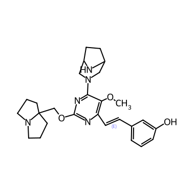 COc1c(/C=C/c2cccc(O)c2)nc(OCC23CCCN2CCC3)nc1N1CC2CCC(C1)N2